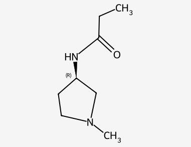 CCC(=O)N[C@@H]1CCN(C)C1